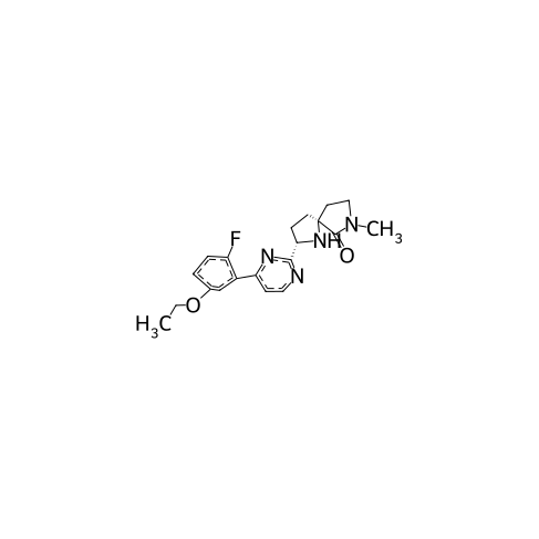 CCOc1ccc(F)c(-c2ccnc([C@@H]3CC[C@@]4(CCN(C)C4=O)N3)n2)c1